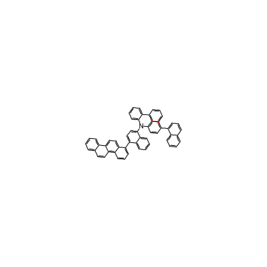 c1ccc(-c2ccccc2N(c2ccc(-c3cccc4ccccc34)cc2)c2ccc(-c3cccc4c3ccc3c5ccccc5ccc43)c3ccccc23)cc1